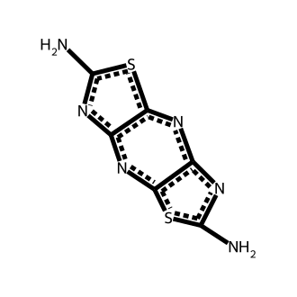 Nc1nc2nc3sc(N)nc3nc2s1